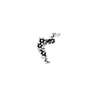 O=C(O)CN[C@@H]1CCCn2nc(C(=O)Nc3cccc(-c4cccc(NC(=O)c5ccc(CNCCO)cn5)c4Cl)c3Cl)cc21